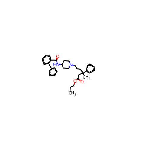 CCCOC(=O)CC(C)(CCCN1CCC(NC(=O)c2ccccc2-c2ccccc2)CC1)c1ccccc1